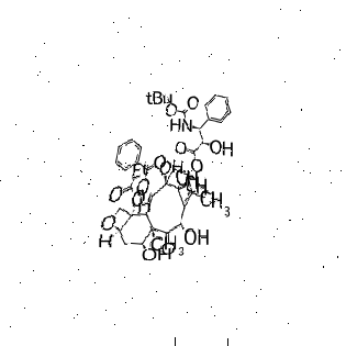 CCC(=O)O[C@@]12CO[C@@H]1C[C@H](O)[C@@]1(C)C(=O)[C@H](O)C3=C(C)[C@@H](OC(=O)[C@H](O)[C@@H](NC(=O)OC(C)(C)C)C4=C=C=CC=C4)C[C@@](O)([C@@H](OC(=O)c4ccccc4)[C@H]21)C3(C)C